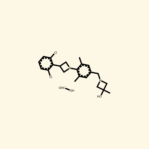 Cc1cc(CN2CC(C)(O)C2)cc(C)c1N1CC(c2c(Cl)cccc2Cl)C1.O=CO